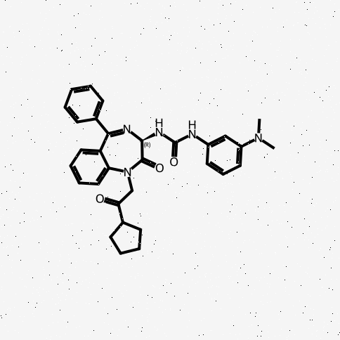 CN(C)c1cccc(NC(=O)N[C@@H]2N=C(c3ccccc3)c3ccccc3N(CC(=O)C3CCCC3)C2=O)c1